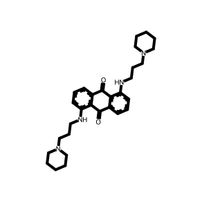 O=C1c2cccc(NCCCN3CCCCC3)c2C(=O)c2cccc(NCCCN3CCCCC3)c21